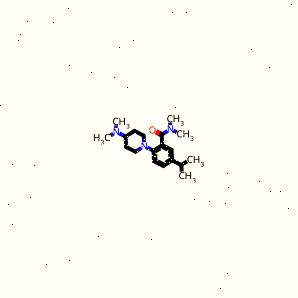 CC(C)c1ccc(N2CCC(N(C)C)CC2)c(C(=O)N(C)C)c1